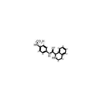 O=C(O)Nc1ccc(NC(=O)C2NCCc3ccccc32)cc1